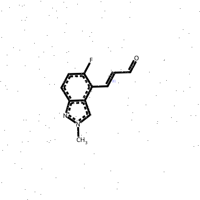 Cn1cc2c(/C=C/C=O)c(F)ccc2n1